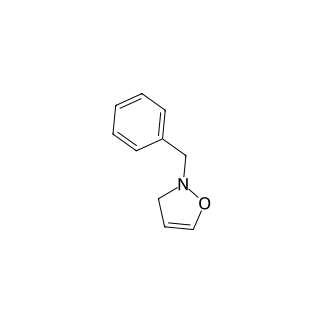 C1=CON(Cc2ccccc2)C1